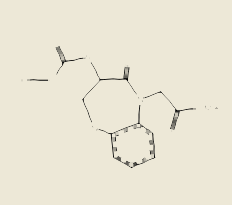 COC(=O)CN1C(=O)C(NC(=O)OC(C)(C)C)CNc2ccccc21